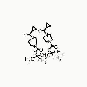 CC(C)(C)OC(=O)N1CCN(C(=O)C2CC2)CC1.CC(C)(C)OC(=O)N1CCN(C(=O)C2CC2)CC1